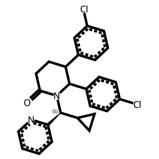 O=C1CCC(c2cccc(Cl)c2)C(c2ccc(Cl)cc2)N1[C@H](c1ccccn1)C1CC1